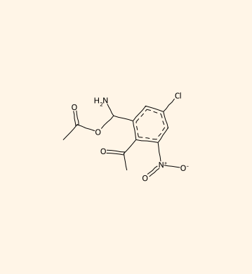 CC(=O)OC(N)c1cc(Cl)cc([N+](=O)[O-])c1C(C)=O